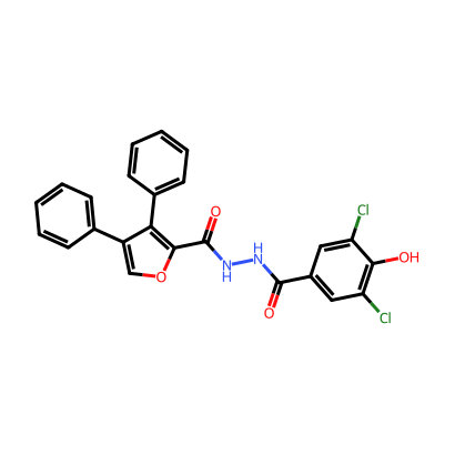 O=C(NNC(=O)c1occ(-c2ccccc2)c1-c1ccccc1)c1cc(Cl)c(O)c(Cl)c1